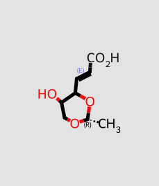 C[C@@H]1OCC(O)C(/C=C/C(=O)O)O1